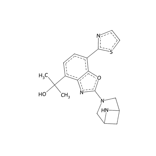 CC(C)(O)c1ccc(-c2nccs2)c2oc(N3CC4CC(C3)N4)nc12